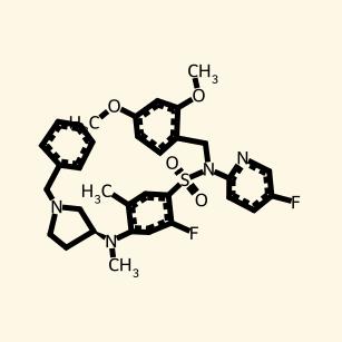 COc1ccc(CN(c2ccc(F)cn2)S(=O)(=O)c2cc(C)c(N(C)[C@H]3CCN(Cc4ccccc4)C3)cc2F)c(OC)c1